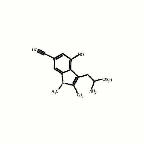 C#Cc1cc(N=O)c2c(CC(N)C(=O)O)c(C)n(C)c2c1